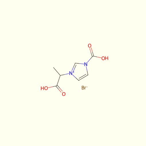 CC(C(=O)O)[n+]1ccn(C(=O)O)c1.[Br-]